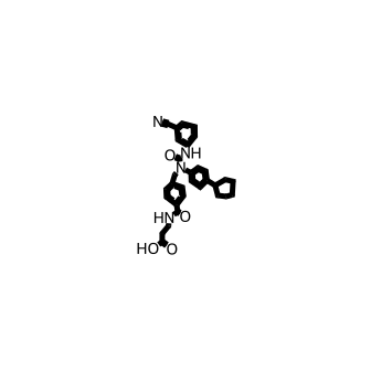 N#Cc1cccc(NC(=O)N(Cc2ccc(C(=O)NCCC(=O)O)cc2)c2ccc(C3CCCCC3)cc2)c1